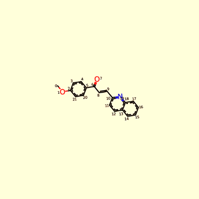 COc1ccc(C(=O)/C=C/c2ccc3ccccc3n2)cc1